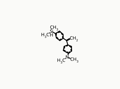 C=C(c1ccc(N(C)C)cc1)c1ccc([SiH](C)C)cc1